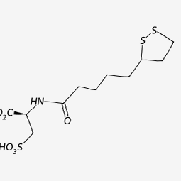 O=C(CCCCC1CCSS1)N[C@@H](CS(=O)(=O)O)C(=O)O